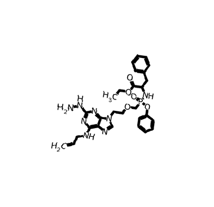 C=CCNc1nc(NN)nc2c1ncn2CCOCP(=O)(NC(Cc1ccccc1)C(=O)OCC)Oc1ccccc1